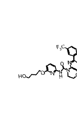 O=C(Nc1cccc(OCCCCO)n1)N1CCOc2ccc(-c3cccc(C(F)(F)F)c3)nc21